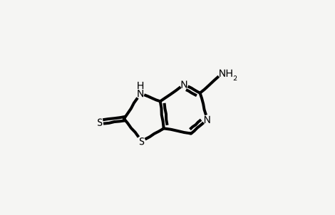 Nc1ncc2sc(=S)[nH]c2n1